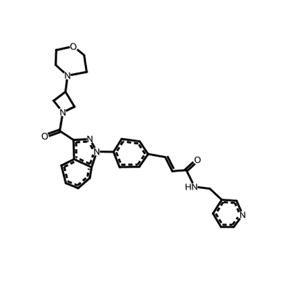 O=C(C=Cc1ccc(-n2nc(C(=O)N3CC(N4CCOCC4)C3)c3ccccc32)cc1)NCc1cccnc1